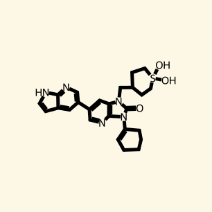 O=c1n(CC2CCS(O)(O)CC2)c2cc(-c3cnc4[nH]ccc4c3)cnc2n1C1=CCCCC1